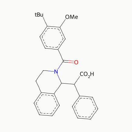 COc1cc(C(=O)N2CCc3ccccc3C2C(C(=O)O)c2ccccc2)ccc1C(C)(C)C